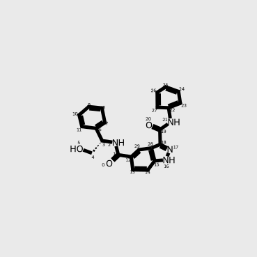 O=C(N[C@H](CO)c1ccccc1)c1ccc2[nH]nc(C(=O)Nc3ccccc3)c2c1